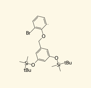 CC(C)(C)[Si](C)(C)Oc1cc(COc2[c]cccc2Br)cc(O[Si](C)(C)C(C)(C)C)c1